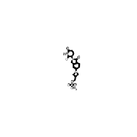 CS(=O)(=O)OCC1CN(c2ccc3c(c2)CN(C2CCC(=O)NC2=O)C3=O)C1